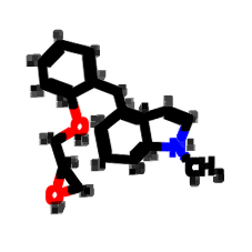 Cn1ccc2c(Cc3ccccc3OCC3CO3)cccc21